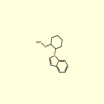 O=COC1CCCCC1[SH]1C=Cc2ccccc21